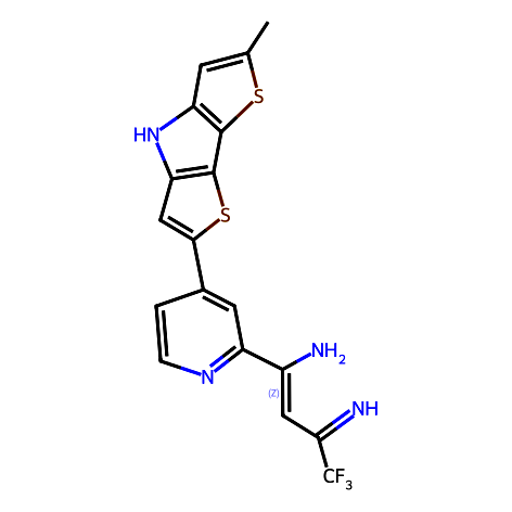 Cc1cc2[nH]c3cc(-c4ccnc(/C(N)=C/C(=N)C(F)(F)F)c4)sc3c2s1